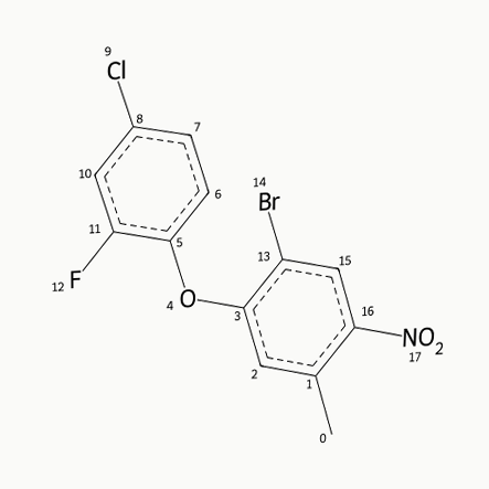 Cc1cc(Oc2ccc(Cl)cc2F)c(Br)cc1[N+](=O)[O-]